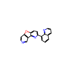 c1cnc2c(-c3ccc4oc5ccncc5c4n3)cccc2c1